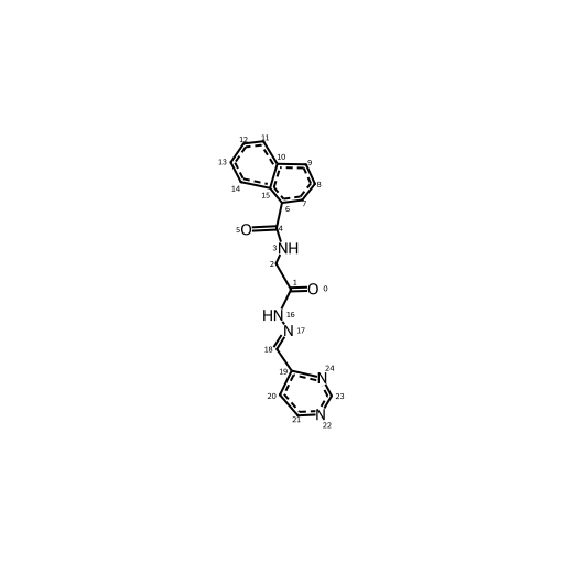 O=C(CNC(=O)c1cccc2ccccc12)NN=Cc1ccncn1